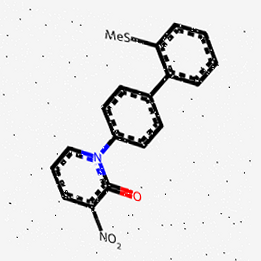 CSc1ccccc1-c1ccc(-n2cccc([N+](=O)[O-])c2=O)cc1